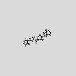 O=C(COc1ccccc1F)Nc1ccc(-c2nc3ccccc3s2)cc1